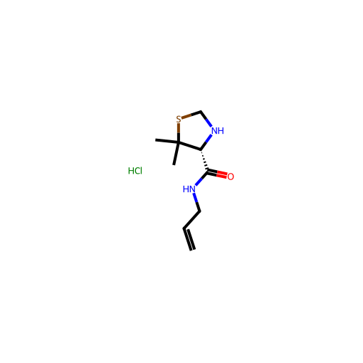 C=CCNC(=O)[C@H]1NCSC1(C)C.Cl